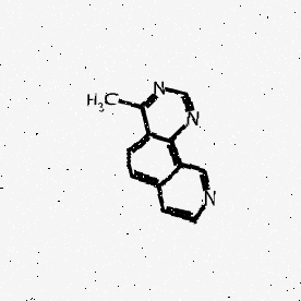 Cc1ncnc2c1ccc1ccncc12